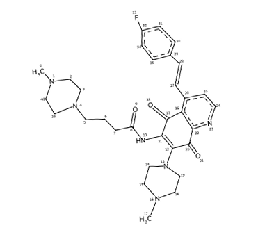 CN1CCN(CCCC(=O)NC2=C(N3CCN(C)CC3)C(=O)c3nccc(/C=C/c4ccc(F)cc4)c3C2=O)CC1